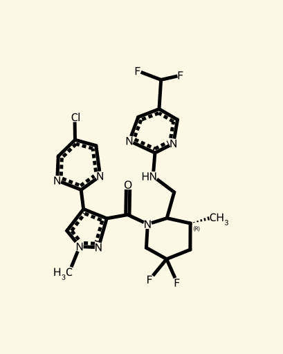 C[C@@H]1CC(F)(F)CN(C(=O)c2nn(C)cc2-c2ncc(Cl)cn2)C1CNc1ncc(C(F)F)cn1